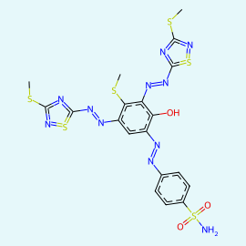 CSc1nsc(/N=N/c2cc(/N=N/c3ccc(S(N)(=O)=O)cc3)c(O)c(/N=N/c3nc(SC)ns3)c2SC)n1